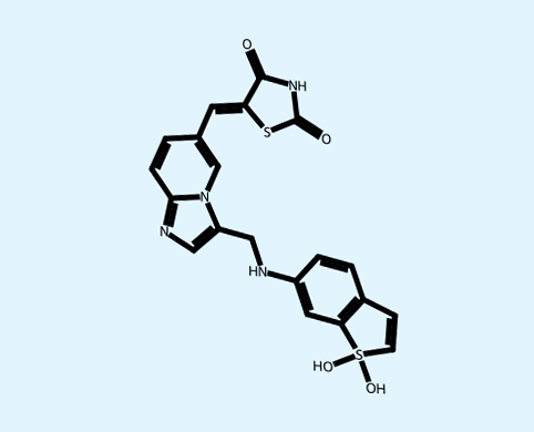 O=C1NC(=O)C(=Cc2ccc3ncc(CNc4ccc5c(c4)S(O)(O)C=C5)n3c2)S1